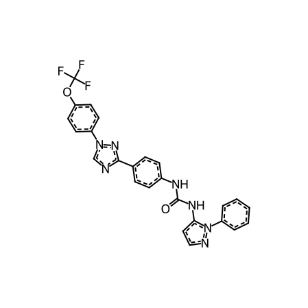 O=C(Nc1ccc(-c2ncn(-c3ccc(OC(F)(F)F)cc3)n2)cc1)Nc1ccnn1-c1ccccc1